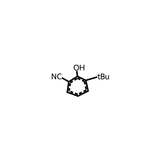 CC(C)(C)c1cccc(C#N)c1O